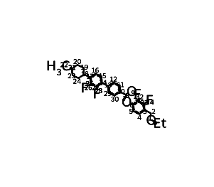 CCOCc1ccc(OC(=O)c2ccc(-c3ccc(C4CCC(C)CC4)c(F)c3F)cc2)c(F)c1F